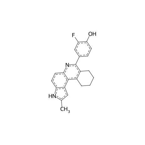 Cc1cc2c(ccc3nc(-c4ccc(O)c(F)c4)c4c(c32)CCCC4)[nH]1